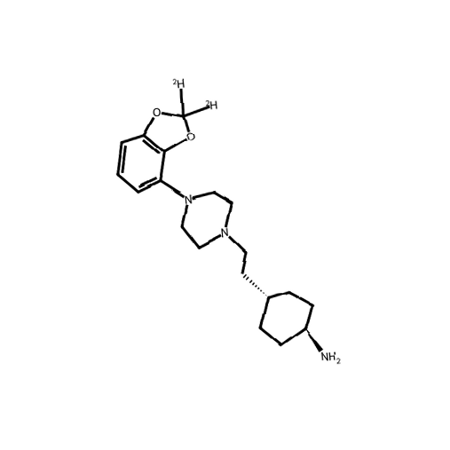 [2H]C1([2H])Oc2cccc(N3CCN(CC[C@H]4CC[C@H](N)CC4)CC3)c2O1